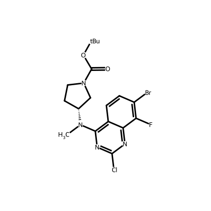 CN(c1nc(Cl)nc2c(F)c(Br)ccc12)[C@@H]1CCN(C(=O)OC(C)(C)C)C1